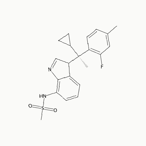 Cc1ccc([C@](C)(C2CC2)C2C=Nc3c(NS(C)(=O)=O)cccc32)c(F)c1